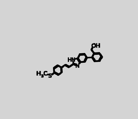 CSc1ccc(/C=C/c2nc3cc(-c4ccccc4CO)ccc3[nH]2)cc1